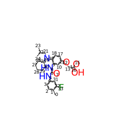 Cc1ccc(NC(=O)Nc2cc(OCC(=O)O)ccc2N(CC(C)C)C2CCCCC2)cc1F